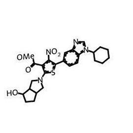 COC(=O)c1c(N2CC3CCC(O)C3C2)sc(-c2ccc3c(c2)ncn3C2CCCCC2)c1[N+](=O)[O-]